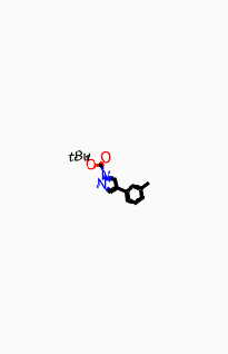 Cc1cccc(-c2cnn(C(=O)OC(C)(C)C)c2)c1